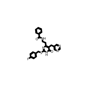 O=C(NCCc1nc(SCc2ccc(F)cc2)[nH]c(=O)c1Cc1cncnc1)c1ccccc1